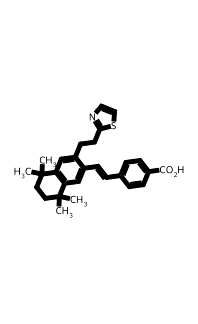 CC1(C)CCC(C)(C)c2cc(CCc3nccs3)c(/C=C/c3ccc(C(=O)O)cc3)cc21